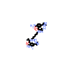 CC(C)C(NCCCCCCCNC(C(=O)c1cc(-c2cnc[nH]2)ccc1C(N)=O)C(C)C)C(=O)c1cc(-c2cnc[nH]2)ccc1C(N)=O